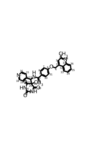 Cc1cc(COc2ccc(C(=O)NC(c3ccncc3)C3(C)C(=O)NC(=O)NC3=O)cc2)c2ccccc2n1